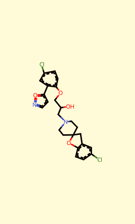 OC(COc1ccc(Cl)cc1-c1ccno1)CN1CCC2(CC1)Cc1cc(Cl)ccc1O2